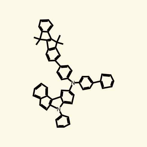 CC1(C)C2=C(c3ccccc31)C(C)(C)c1cc(-c3ccc(N(c4ccc(-c5ccccc5)cc4)c4ccc5c(c4)c4c6ccccc6ccc4n5-c4ccccc4)cc3)ccc12